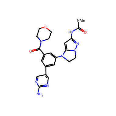 CNC(=O)Nc1cc2n(n1)CCN2c1cc(C(=O)N2CCOCC2)cc(-c2cnc(N)nc2)c1